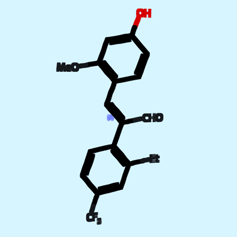 CCc1cc(C(F)(F)F)ccc1/C(C=O)=C/c1ccc(O)cc1OC